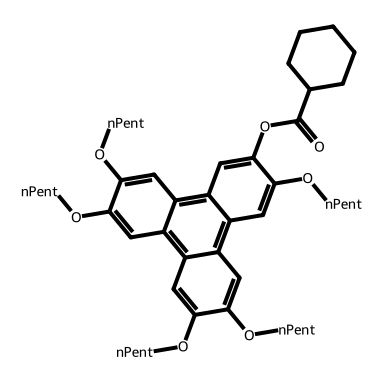 CCCCCOc1cc2c3cc(OCCCCC)c(OCCCCC)cc3c3cc(OC(=O)C4CCCCC4)c(OCCCCC)cc3c2cc1OCCCCC